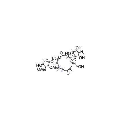 CC[C@H]1OC(=O)C[C@@H](O)[C@H](C)[C@@H](O[C@@H]2O[C@H](C)[C@@H](O)C(N(C)C)C2O)[C@@H](CCO)C[C@@H](C)C(=O)/C=C/C(C)=C/[C@@H]1CO[C@@H]1OC(C)[C@H](O)C(OC)C1OC